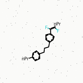 CCCC(F)=C(F)c1ccc(CCCc2ccc(CCC)cc2)cc1